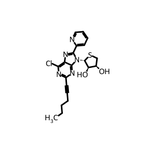 CCCCC#Cc1nc(Cl)c2nc(-c3ccccn3)n([C@@H]3SC[C@@H](O)[C@H]3O)c2n1